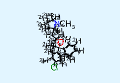 [2H]c1c([2H])c([2H])c([C@@](OC([2H])([2H])C[C@]2([2H])N(C)C([2H])([2H])C([2H])([2H])C2([2H])[2H])(c2c([2H])c([2H])c(Cl)c([2H])c2[2H])C([2H])([2H])[2H])c([2H])c1[2H]